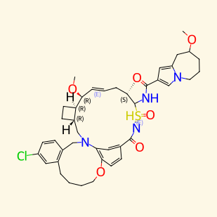 COC1CCCn2cc(C(=O)NC3[C@@H](C)C/C=C/[C@H](OC)[C@@H]4CC[C@H]4CN4Cc5ccc(Cl)cc5CCCCOc5ccc(cc54)C(=O)/N=[SH]\3=O)cc2C1